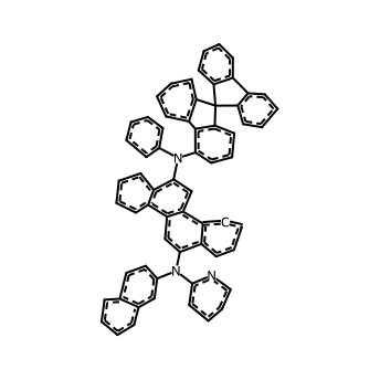 c1ccc(N(c2cccc3c2-c2ccccc2C32c3ccccc3-c3ccccc32)c2cc3c4ccccc4c(N(c4ccc5ccccc5c4)c4ccccn4)cc3c3ccccc23)cc1